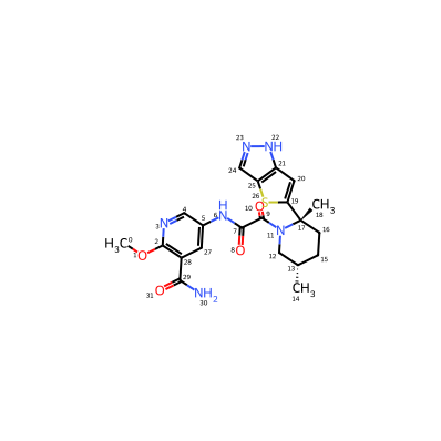 COc1ncc(NC(=O)C(=O)N2C[C@@H](C)CC[C@@]2(C)c2cc3[nH]ncc3s2)cc1C(N)=O